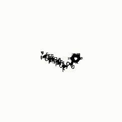 O=C(OCC(F)(F)OC(F)(F)C(F)(F)OC(F)(F)C(F)(F)OC(F)(F)F)c1ccccc1